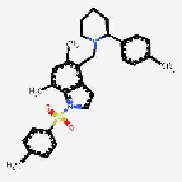 Cc1ccc(C2CCCCN2Cc2c(C)cc(C)c3c2ccn3S(=O)(=O)c2ccc(C)cc2)cc1